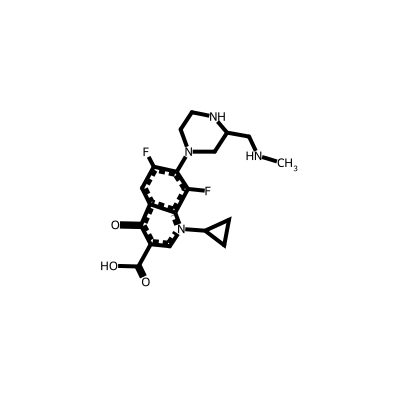 CNCC1CN(c2c(F)cc3c(=O)c(C(=O)O)cn(C4CC4)c3c2F)CCN1